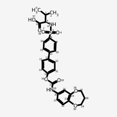 CC(C)[C@@H](NS(=O)(=O)c1ccc(-c2ccc(OC(=O)Nc3ccc4c(c3)OCCCO4)cc2)cc1)C(=O)O